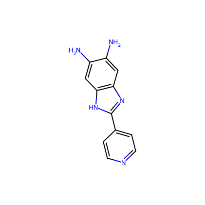 Nc1cc2nc(-c3ccncc3)[nH]c2cc1N